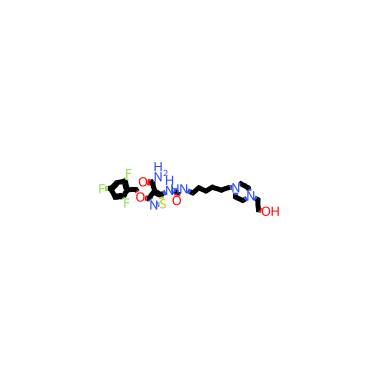 NC(=O)c1c(OCc2c(F)cc(F)cc2F)nsc1NC(=O)NCCCCCCN1CCN(CCO)CC1